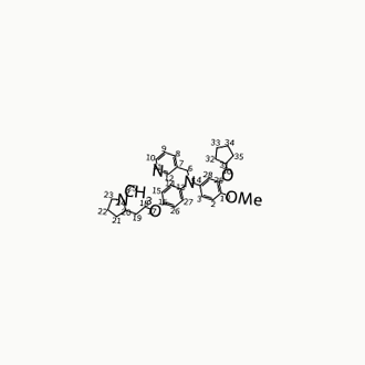 COc1ccc(N(Cc2cccnc2)c2ccc(OCCC3CCCN3C)cc2)cc1OC1CCCC1